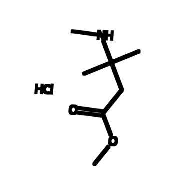 CNC(C)(C)CC(=O)OC.Cl